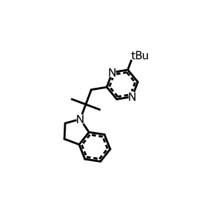 CC(C)(C)c1cncc(CC(C)(C)N2CCc3ccccc32)n1